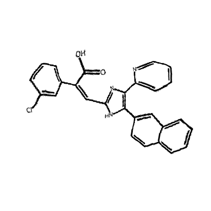 O=C(O)/C(=C\c1nc(-c2ccccn2)c(-c2ccc3ccccc3c2)[nH]1)c1cccc(Cl)c1